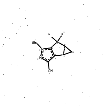 CC(C)(C)n1nc(C#N)c2c1C(F)(F)C1CC21